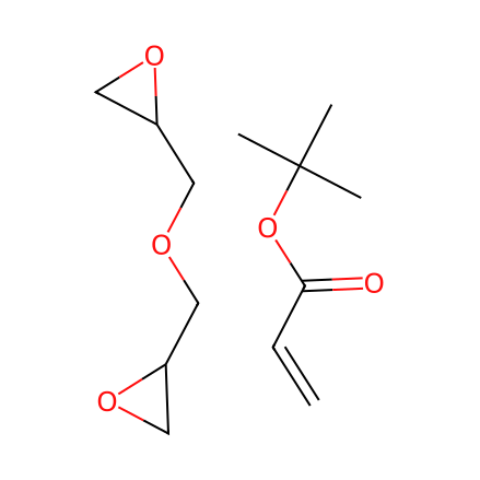 C(OCC1CO1)C1CO1.C=CC(=O)OC(C)(C)C